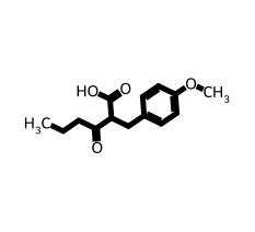 CCCC(=O)C(Cc1ccc(OC)cc1)C(=O)O